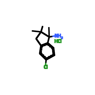 CC1(C)Cc2cc(Cl)ccc2C1(C)N.Cl